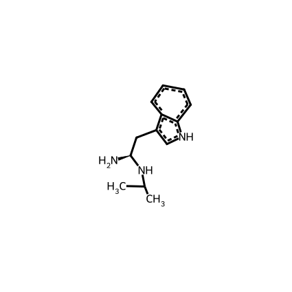 CC(C)N[C@@H](N)Cc1c[nH]c2ccccc12